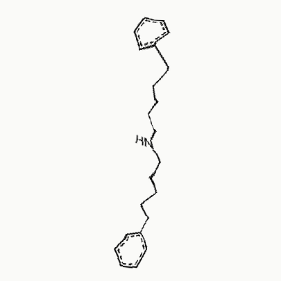 c1ccc(CCCCCNCCCCCc2ccccc2)cc1